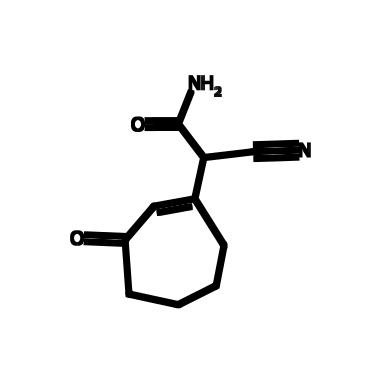 N#CC(C(N)=O)C1=CC(=O)CCCC1